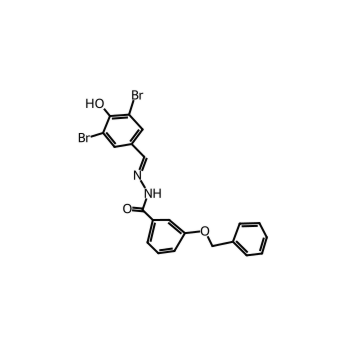 O=C(NN=Cc1cc(Br)c(O)c(Br)c1)c1cccc(OCc2ccccc2)c1